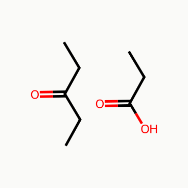 CCC(=O)CC.CCC(=O)O